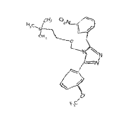 C[Si](C)(C)CCOCn1c(-c2cccc(OC(F)(F)F)c2)nnc1-c1cccc([N+](=O)[O-])c1